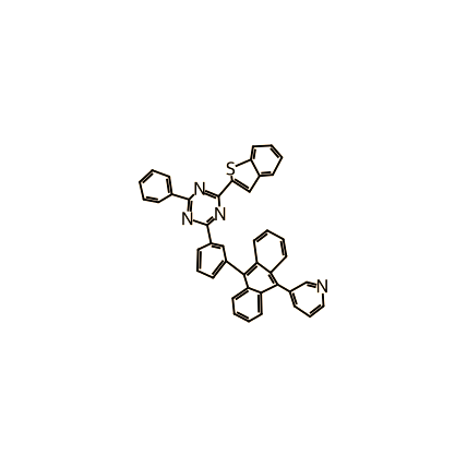 c1ccc(-c2nc(-c3cccc(-c4c5ccccc5c(-c5cccnc5)c5ccccc45)c3)nc(-c3cc4ccccc4s3)n2)cc1